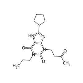 CCCn1c(=O)c2[nH]c(C3CCCC3)nc2n(CCC(C)=O)c1=O